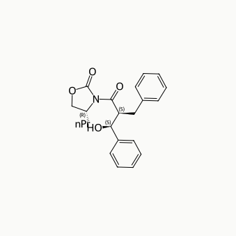 CCC[C@@H]1COC(=O)N1C(=O)[C@@H](Cc1ccccc1)[C@H](O)c1ccccc1